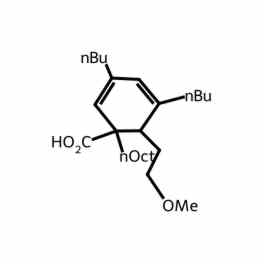 CCCCCCCCC1(C(=O)O)C=C(CCCC)C=C(CCCC)C1CCOC